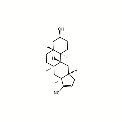 C[C@@]12CC[C@H](O)C[C@H]1CC[C@@H]1C[C@]3(C)C(C#N)=CC[C@H]3C[C@H]12